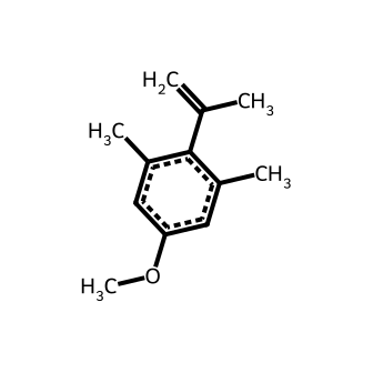 C=C(C)c1c(C)cc(OC)cc1C